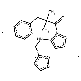 CC(C)(Cc1ccccn1)C(=O)n1nccc1NCc1ccco1